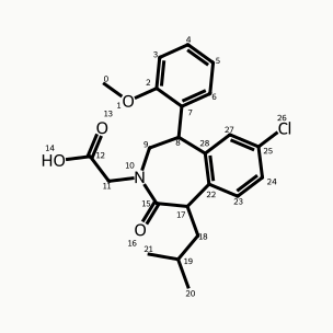 COc1ccccc1C1CN(CC(=O)O)C(=O)C(CC(C)C)c2ccc(Cl)cc21